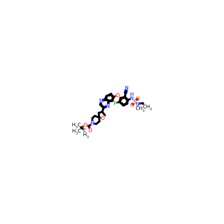 CCN(C)S(=O)(=O)Nc1ccc(F)c(Oc2ccc3ncc(C4COC5(CCN(C(=O)OC(C)(C)C)CC5)C4)nc3c2)c1C#N